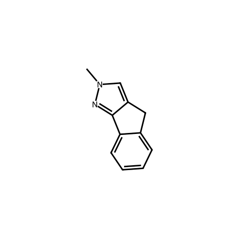 Cn1cc2c(n1)-c1ccccc1C2